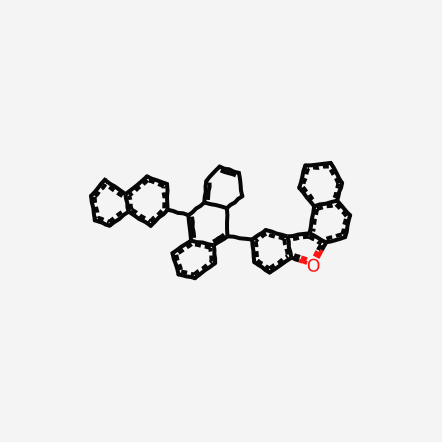 C1=CCC2C(=C1)C(c1ccc3ccccc3c1)=c1ccccc1=C2c1ccc2oc3ccc4ccccc4c3c2c1